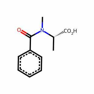 C[C@@H](C(=O)O)N(C)C(=O)c1ccccc1